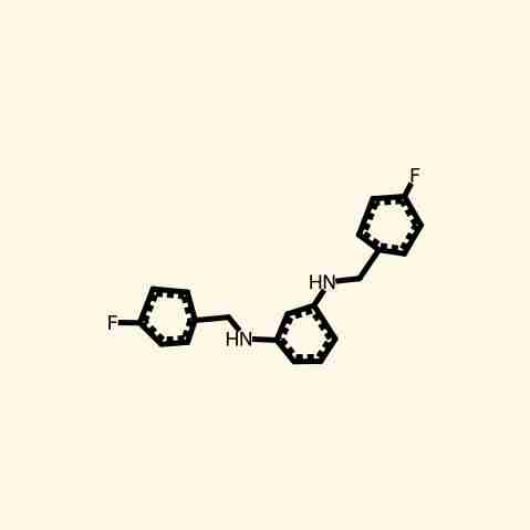 Fc1ccc(CNc2cccc(NCc3ccc(F)cc3)c2)cc1